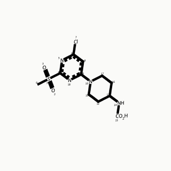 CS(=O)(=O)c1nc(Cl)cc(N2CCC(NC(=O)O)CC2)n1